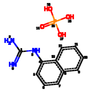 N=C(N)Nc1cccc2ccccc12.O=P(O)(O)O